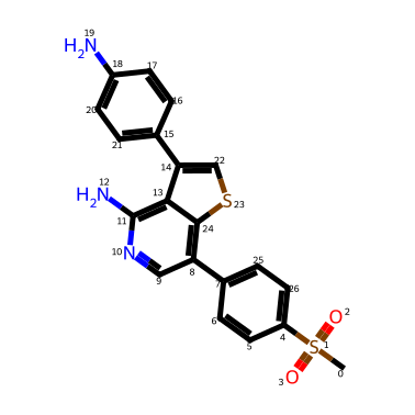 CS(=O)(=O)c1ccc(-c2cnc(N)c3c(-c4ccc(N)cc4)csc23)cc1